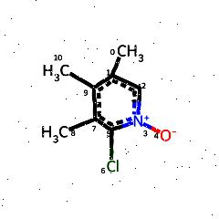 Cc1[c][n+]([O-])c(Cl)c(C)c1C